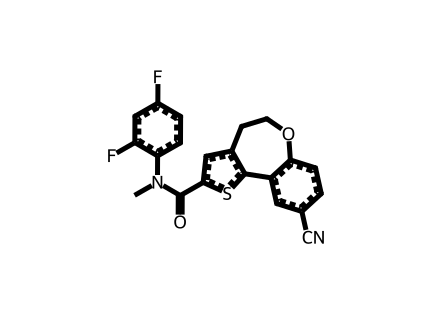 CN(C(=O)c1cc2c(s1)-c1cc(C#N)ccc1OCC2)c1ccc(F)cc1F